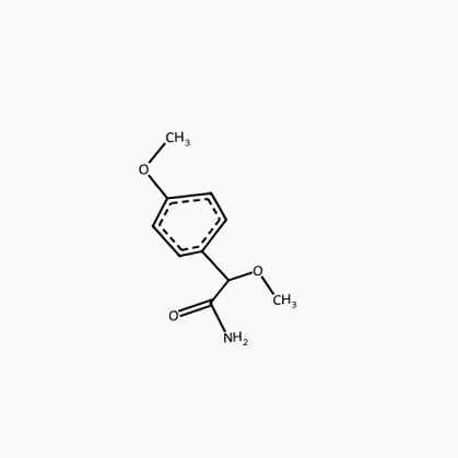 COc1ccc(C(OC)C(N)=O)cc1